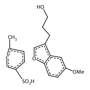 COc1ccc2occ(CCCO)c2c1.Cc1ccc(S(=O)(=O)O)cc1